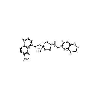 COc1ccc2nccc(CCC3(O)CCC(NCc4ccc5c(c4)OCCO5)CC3)c2n1